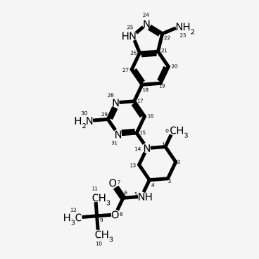 CC1CCC(NC(=O)OC(C)(C)C)CN1c1cc(-c2ccc3c(N)n[nH]c3c2)nc(N)n1